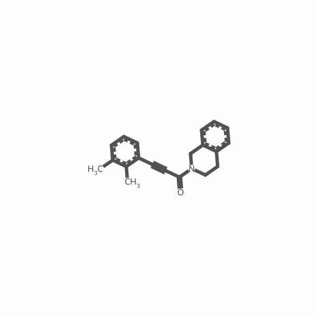 Cc1cccc(C#CC(=O)N2CCc3ccccc3C2)c1C